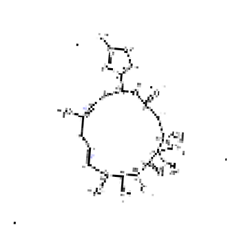 CC1=NC([C@@H]2C/C=C(/C)C/C=C/[C@H](C)[C@H](O)[C@@H](C)C(=O)C(C)(C)[C@@H](O)CC(=O)O2)CS1